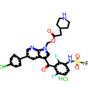 CCCS(=O)(=O)Nc1ccc(F)c(C(=O)c2cn(COC(=O)CC3CCNCC3)c3ncc(-c4ccc(Cl)cc4)cc23)c1F.Cl